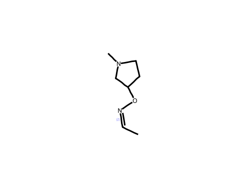 C/C=N\OC1CCN(C)C1